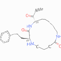 CNC(=O)[C@@H]1CCCCNC(=O)CCCN[C@@H](CCc2ccccc2)C(=O)N1